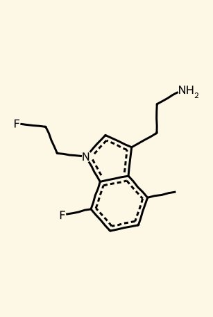 Cc1ccc(F)c2c1c(CCN)cn2CCF